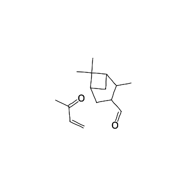 C=CC(C)=O.CC1C(C=O)CC2CC1C2(C)C